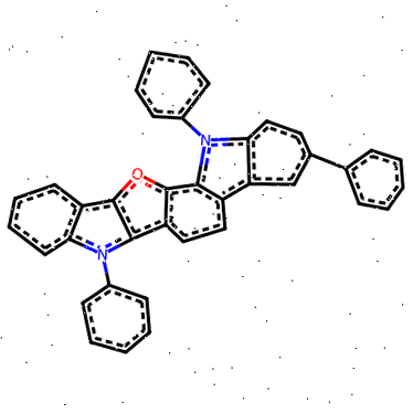 c1ccc(-c2ccc3c(c2)c2ccc4c(oc5c6ccccc6n(-c6ccccc6)c45)c2n3-c2ccccc2)cc1